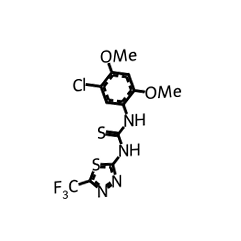 COc1cc(OC)c(NC(=S)Nc2nnc(C(F)(F)F)s2)cc1Cl